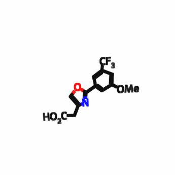 COc1cc(-c2nc(CC(=O)O)co2)cc(C(F)(F)F)c1